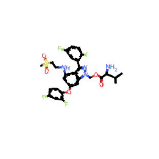 CC(C)C(N)C(=O)OCn1nc(-c2cc(F)ccc2F)c2c(NCCS(C)(=O)=O)cc(Oc3ccc(F)cc3F)cc21